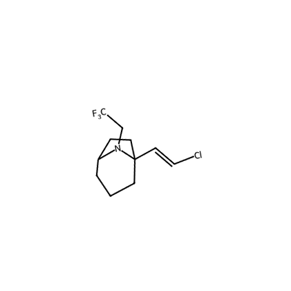 FC(F)(F)CN1C2CCCC1(/C=C/Cl)CC2